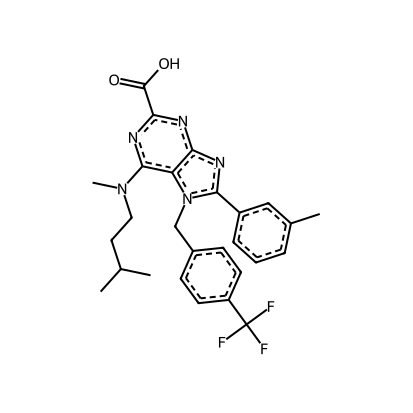 Cc1cccc(-c2nc3nc(C(=O)O)nc(N(C)CCC(C)C)c3n2Cc2ccc(C(F)(F)F)cc2)c1